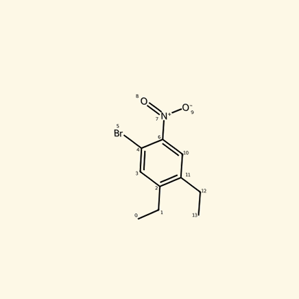 CCc1cc(Br)c([N+](=O)[O-])cc1CC